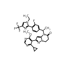 CCn1cc(C(F)(F)F)nc1-c1ccc([C@@H](C)N2C(=O)CCn3nc(-c4c(OC)ncnc4C4CC4)cc32)cc1F